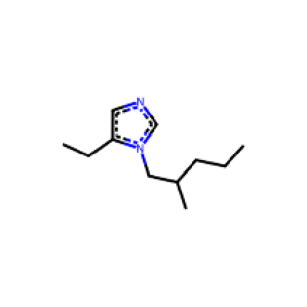 CCCC(C)Cn1cncc1CC